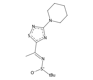 CC(=N[S+]([O-])C(C)(C)C)c1nc(N2CCCCC2)ns1